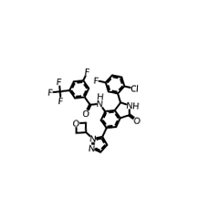 O=C(Nc1cc(-c2ccnn2C2COC2)cc2c1C(c1cc(F)ccc1Cl)NC2=O)c1cc(F)cc(C(F)(F)F)c1